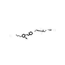 CCCCCc1ccc(-c2cc3ccc(OCCC(F)(F)C(F)(F)C(F)(F)C(F)(F)CCOC(=O)C(C)(C)C)cc3o2)c(C(F)(F)F)c1